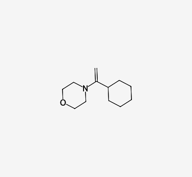 C=C(C1CCCCC1)N1CCOCC1